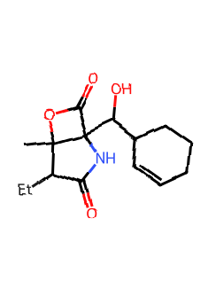 CCC1C(=O)NC2(C(O)C3C=CCCC3)C(=O)OC12C